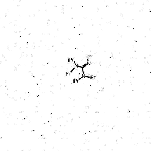 CC(C)N=C(N(C(C)C)C(C)C)N(C(C)C)C(C)C